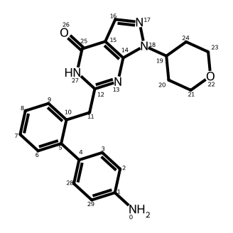 Nc1ccc(-c2ccccc2Cc2nc3c(cnn3C3CCOCC3)c(=O)[nH]2)cc1